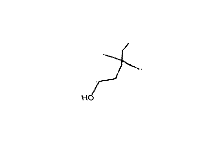 [CH2]C(C)(C)C[CH]O